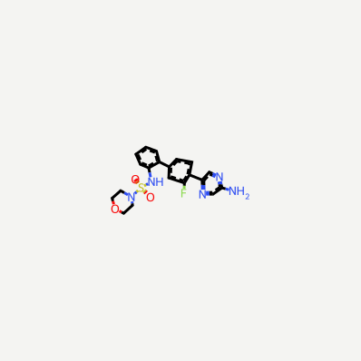 Nc1cnc(-c2ccc(-c3ccccc3NS(=O)(=O)N3CCOCC3)cc2F)cn1